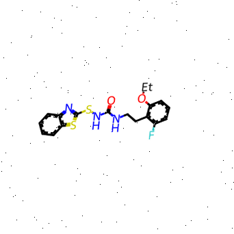 CCOc1cccc(F)c1CCNC(=O)NSc1nc2ccccc2s1